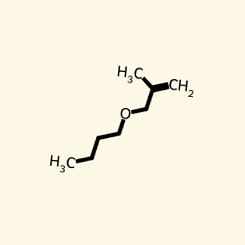 C=C(C)COCCCC